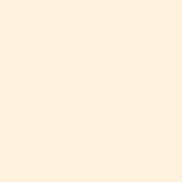 CC(C)c1cc(C(F)(F)F)c(OC(F)(F)F)c(F)c1O